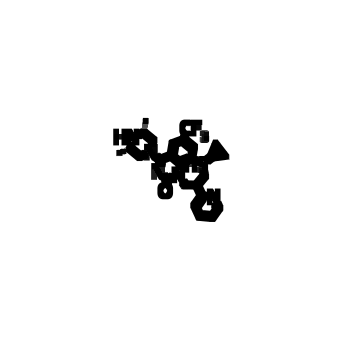 C[C@@H]1CN(c2nc(=O)n3c4c(cc(C(F)(F)F)cc24)[SH](C2CC2)CC(c2ccccn2)C3)C[C@H](C)N1